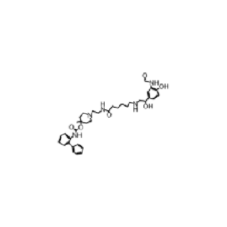 CC1(OC(=O)Nc2ccccc2-c2ccccc2)CCN(CCNC(=O)CCCCCNCC(O)c2ccc(O)c(NC=O)c2)CC1